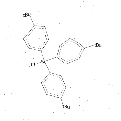 CC(C)(C)c1ccc([Si](Cl)(c2ccc(C(C)(C)C)cc2)c2ccc(C(C)(C)C)cc2)cc1